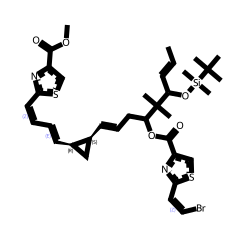 CC=CC(O[Si](C)(C)C(C)(C)C)C(C)(C)C(CC=C[C@H]1C[C@H]1/C=C/C=C\c1nc(C(=O)OC)cs1)OC(=O)c1csc(/C=C\Br)n1